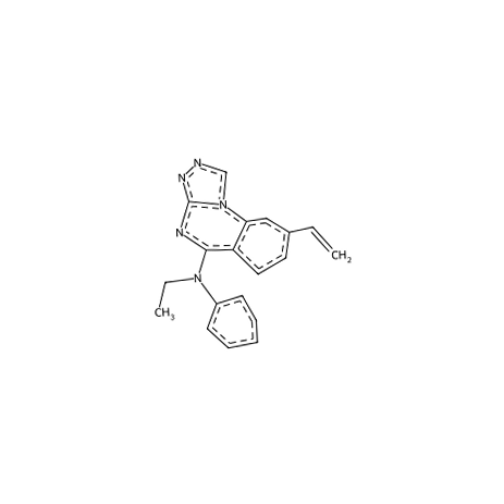 C=Cc1ccc2c(N(CC)c3ccccc3)nc3nncn3c2c1